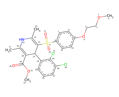 COCCOc1ccc(S(=O)(=O)C2=C(C)NC(C)=C(C(=O)OC)C2c2cccc(Cl)c2Cl)cc1